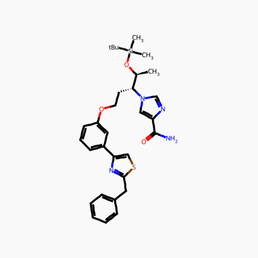 C[C@H](O[Si](C)(C)C(C)(C)C)[C@@H](CCOc1cccc(-c2csc(Cc3ccccc3)n2)c1)n1cnc(C(N)=O)c1